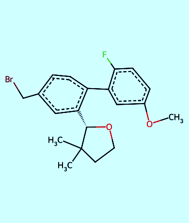 COc1ccc(F)c(-c2ccc(CBr)cc2[C@@H]2OCCC2(C)C)c1